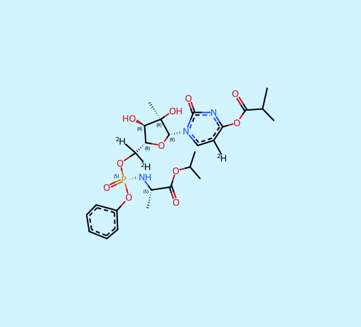 [2H]c1cn([C@@H]2O[C@H](C([2H])([2H])O[P@@](=O)(N[C@@H](C)C(=O)OC(C)C)Oc3ccccc3)[C@@H](O)[C@@]2(C)O)c(=O)nc1OC(=O)C(C)C